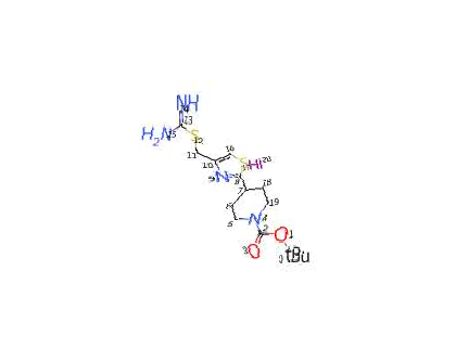 CC(C)(C)OC(=O)N1CCC(c2nc(CSC(=N)N)cs2)CC1.I